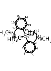 CN(C)c1ccccc1[Si](C)(C)c1ccccc1N(C)C